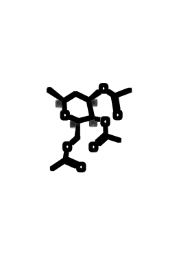 CC(=O)OC[C@H]1O[C@@H](C)C[C@@H](OC(C)=O)[C@@H]1OC(C)=O